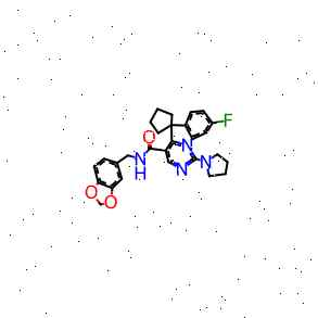 O=C(NCc1ccc2c(c1)OCO2)c1cnc(N2CCCC2)nc1C1(c2ccc(F)cc2)CCCC1